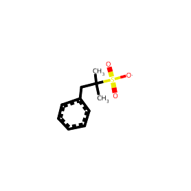 CC(C)(Cc1ccccc1)S([O])(=O)=O